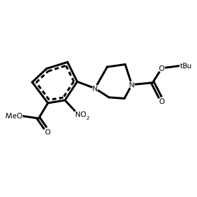 COC(=O)c1cccc(N2CCN(C(=O)OC(C)(C)C)CC2)c1[N+](=O)[O-]